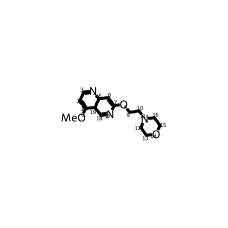 COC1=CC=NC2C=C(OCCN3CCOCC3)N=CC12